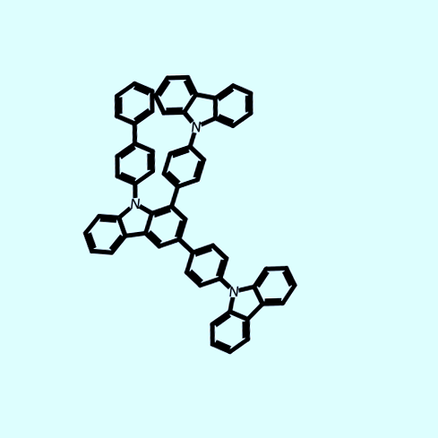 c1ccc(-c2ccc(-n3c4ccccc4c4cc(-c5ccc(-n6c7ccccc7c7ccccc76)cc5)cc(-c5ccc(-n6c7ccccc7c7ccccc76)cc5)c43)cc2)cc1